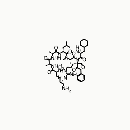 CC(C)C[C@H](NC(=O)[C@H](C)NC(=O)[C@H](C)NC(=O)[C@@H](N)CCCCN)C(=O)N(C)[C@@H](C)C(=O)N(C(=O)[C@@H](N)CC1CCCCC1)[C@]([C]=O)(CCCNC(=N)N)C(=O)Cc1ccccc1